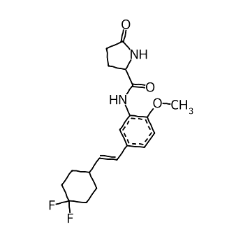 COc1ccc(C=CC2CCC(F)(F)CC2)cc1NC(=O)C1CCC(=O)N1